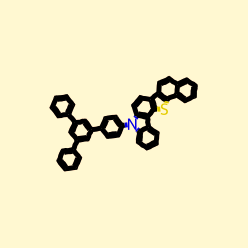 c1ccc(-c2cc(-c3ccccc3)cc(-c3ccc(-n4c5ccccc5c5c6sc7c8ccccc8ccc7c6ccc54)cc3)c2)cc1